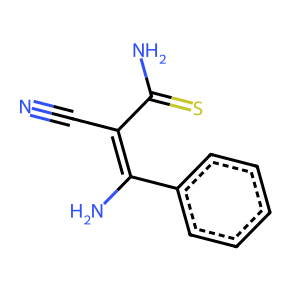 N#CC(C(N)=S)=C(N)c1ccccc1